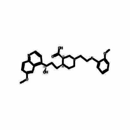 COc1ccc2nccc([C@@H](O)CC[C@@H]3CCN(CCSc4ccccc4OC)C[C@@H]3C(=O)O)c2c1